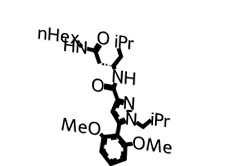 CCCCCCNC(=O)C[C@H](CC(C)C)NC(=O)c1cc(-c2c(OC)cccc2OC)n(CC(C)C)n1